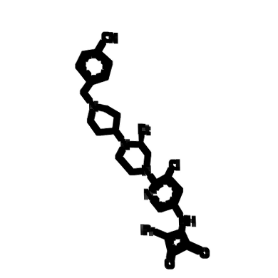 CC[C@H]1CN(c2ncc(Nc3c(C(C)C)c(=O)c3=O)cc2Cl)CCN1C1CCN(Cc2ccc(C#N)cc2)CC1